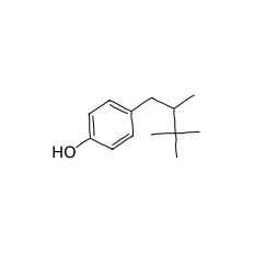 CC(Cc1ccc(O)cc1)C(C)(C)C